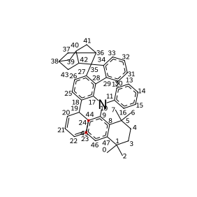 CC1(C)CCC(C)(C)c2c(N(c3ccccc3)c3c(C4C=CC=CC4)ccc4c3-c3ccccc3C43C4CC5CC(C4)C3C5)cccc21